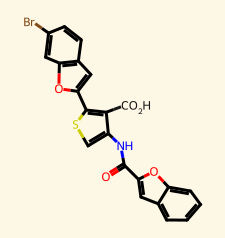 O=C(Nc1csc(-c2cc3ccc(Br)cc3o2)c1C(=O)O)c1cc2ccccc2o1